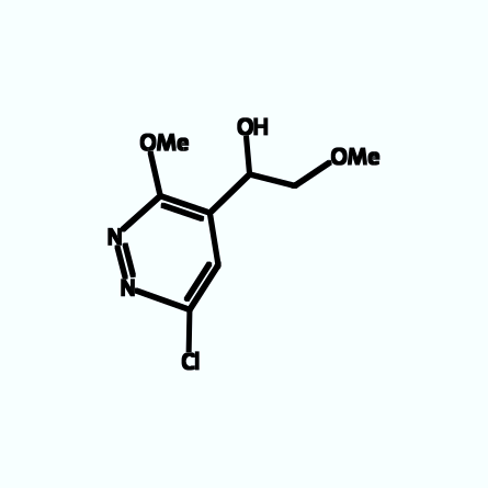 COCC(O)c1cc(Cl)nnc1OC